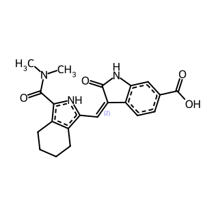 CN(C)C(=O)c1[nH]c(/C=C2\C(=O)Nc3cc(C(=O)O)ccc32)c2c1CCCC2